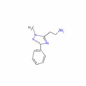 Cn1nc(-c2ccccc2)nc1CCN